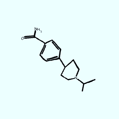 CC(C)N1CCC(c2ccc(C(N)=O)cc2)CC1